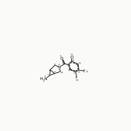 NC1C2CN(C(=O)c3cc(F)c(F)cc3Cl)CC12